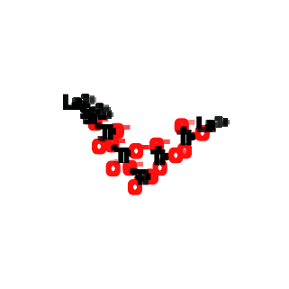 [La+3].[La+3].[O]=[Ti]([O-])[O-].[O]=[Ti]([O-])[O-].[O]=[Ti]([O-])[O-].[O]=[Ti]([O-])[O-].[O]=[Ti]([O-])[O-].[Sr+2].[Sr+2]